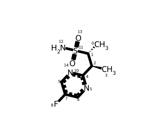 C[C@H]([C@@H](C)c1ncc(F)cn1)S(N)(=O)=O